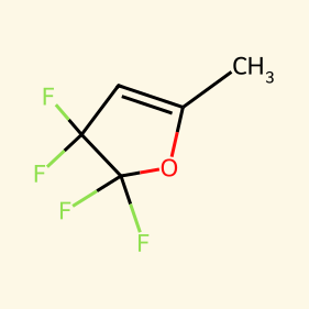 CC1=CC(F)(F)C(F)(F)O1